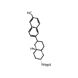 CCCCCCC[C@@H]1CC[C@@H]2CC(c3ccc4cc(C#N)ccc4c3)CCC2C1